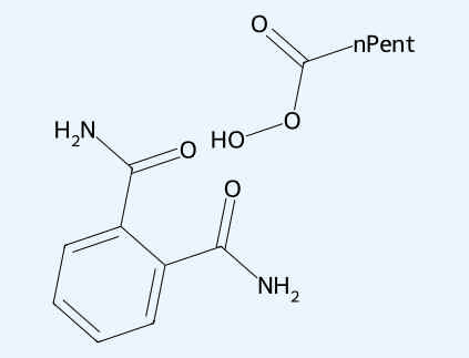 CCCCCC(=O)OO.NC(=O)c1ccccc1C(N)=O